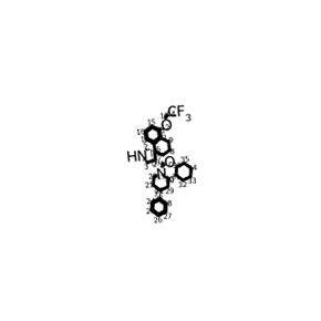 O=C([C@@H]1CNC[C@]12CCCc1c(OCC(F)(F)F)cccc12)N1CC[C@@H](c2ccccc2)C[C@H]1C1CCCCC1